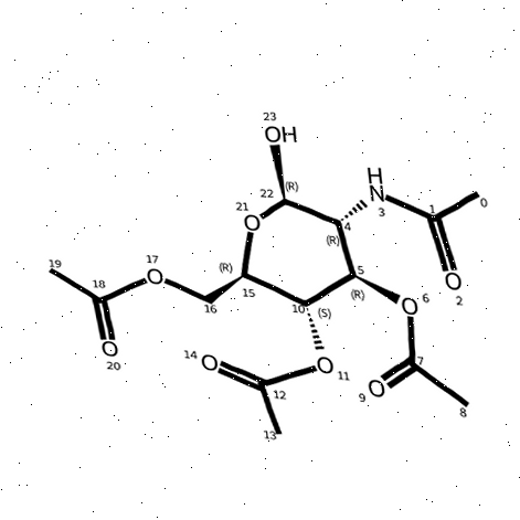 CC(=O)N[C@@H]1[C@@H](OC(C)=O)[C@H](OC(C)=O)[C@@H](COC(C)=O)O[C@H]1O